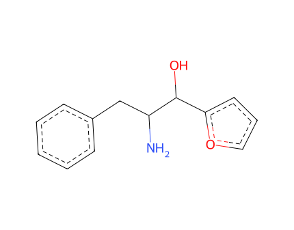 NC(Cc1ccccc1)C(O)c1ccco1